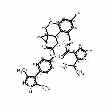 Cc1n[nH]c(C)c1-c1ccc(NC(=O)[C@@H](NC(=O)c2nonc2C(C)C)C2c3c(F)cc(F)cc3OCC23CC3)cn1